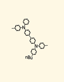 CCCCc1ccc(N(c2ccc(C)cc2)c2ccc(-c3ccc(N(c4ccccc4)c4ccc(C)cc4)cc3)cc2)cc1